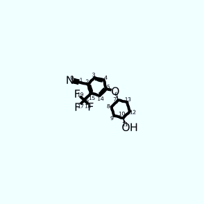 N#Cc1ccc(O[C@H]2CC[C@H](O)CC2)cc1C(F)(F)F